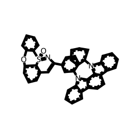 O=S12=NC(c3cccc(-n4c5ccccc5c5ccc6c7ccccc7n(-c7ccccc7)c6c54)c3)=Cc3cccc(c31)Oc1ccccc12